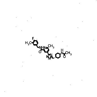 CC(=O)N[C@H]1CC[C@H](Cn2nnc(-c3cc(C)nc(C(=O)NCc4ccc(F)c(C)c4)c3)n2)CC1